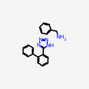 NCc1ccccc1.c1ccc(-c2ccccc2-c2nnn[nH]2)cc1